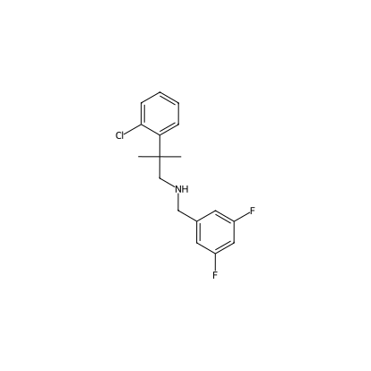 CC(C)(CNCc1cc(F)cc(F)c1)c1ccccc1Cl